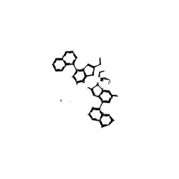 CCC1=Cc2c(-c3cccc4ccccc34)cc(C)cc2[CH]1[Zr](=[SiH2])([CH2]C)([CH2]C)[CH]1C(C)=Cc2c(-c3cccc4ccccc34)cc(C)cc21.Cl.Cl